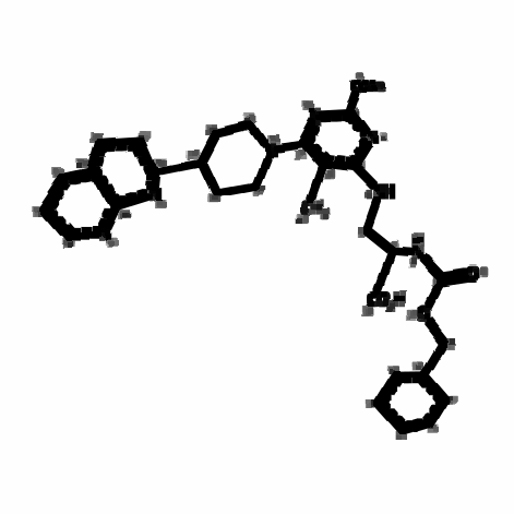 COc1nc(NCC(NC(=O)OCc2ccccc2)C(=O)O)c(C)c(N2CCC(c3ccc4cccnc4n3)CC2)n1